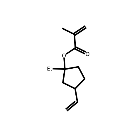 C=CC1CCC(CC)(OC(=O)C(=C)C)C1